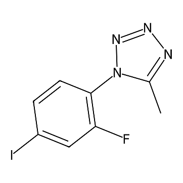 Cc1nnnn1-c1ccc(I)cc1F